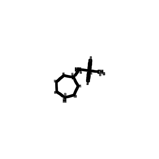 CS(=O)(=O)NN1CCCNCC1